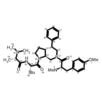 CN[C@H](Cc1ccc(OC)cc1)C(=O)N(CCc1ccccc1)C[C@@H]1CCCN1C(=O)[C@@H](NC(=O)[C@H](C)N(C)C)C(C)(C)C